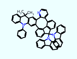 CC1(C)c2ccccc2N(c2ccccc2)c2cc3c(cc21)-c1ncccc1-c1cccc2c1-c1c-3cccc1C2(n1c2ccccc2c2ccccc21)n1c2ccccc2c2ccccc21